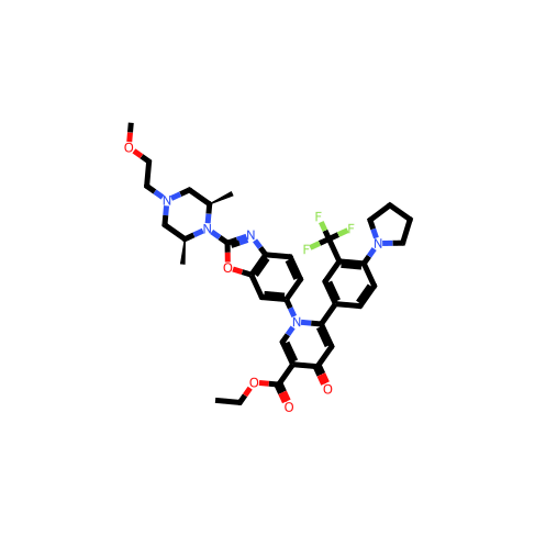 CCOC(=O)c1cn(-c2ccc3nc(N4[C@H](C)CN(CCOC)C[C@@H]4C)oc3c2)c(-c2ccc(N3CCCC3)c(C(F)(F)F)c2)cc1=O